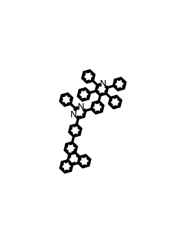 c1ccc(-c2nc(-c3ccc(-c4ccc5c6ccccc6c6ccccc6c5c4)cc3)cc(-c3cccc(-c4c(-c5ccccc5)c(-c5ccccc5)nc(-c5ccccc5)c4-c4ccccc4)c3)n2)cc1